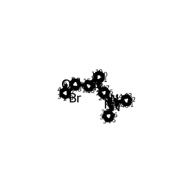 Brc1cccc2oc3ccc(-c4ccc5c(c4)c4ccccc4n5-c4ccc(-c5nc(-c6ccccc6)nc(-c6ccccc6)n5)cc4)cc3c12